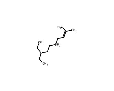 CCN(CC)CC[SiH2]CC=C(C)C